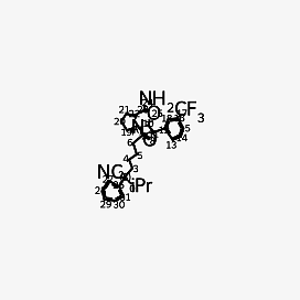 CC(C)[C@@](C#N)(CCCCC(=O)[N@@+]1(CCc2cccc(C(F)(F)F)c2)CCCC1C(N)=O)c1ccccc1